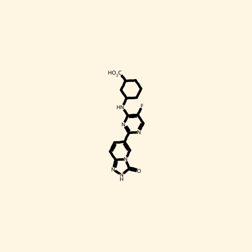 O=C(O)C1CCCC(Nc2nc(-c3ccc4n[nH]c(=O)n4c3)ncc2F)C1